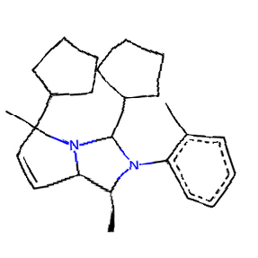 Cc1ccccc1N1C(C2CCCC2)N2C(C=CC2(C)C2CCCC2)[C@@H]1C